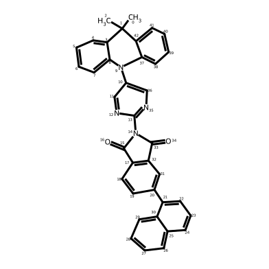 CC1(C)c2ccccc2N(c2cnc(N3C(=O)c4ccc(-c5cccc6ccccc56)cc4C3=O)nc2)c2ccccc21